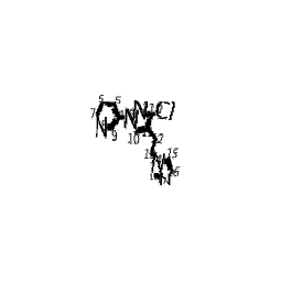 Clc1nn(-c2cccnc2)cc1CCn1ccnc1